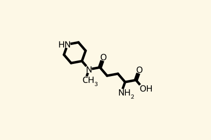 CN(C(=O)CCC(N)C(=O)O)C1CCNCC1